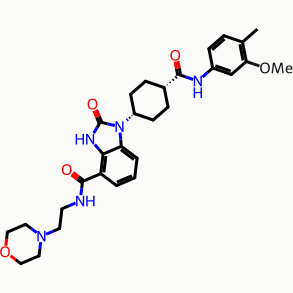 COc1cc(NC(=O)[C@H]2CC[C@@H](n3c(=O)[nH]c4c(C(=O)NCCN5CCOCC5)cccc43)CC2)ccc1C